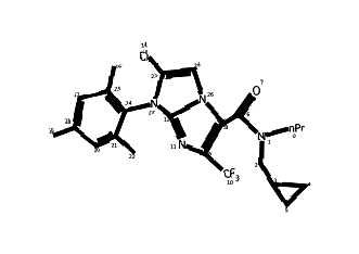 CCCN(CC1CC1)C(=O)c1c(C(F)(F)F)nc2n(-c3c(C)cc(C)cc3C)c(Cl)cn12